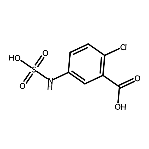 O=C(O)c1cc(NS(=O)(=O)O)ccc1Cl